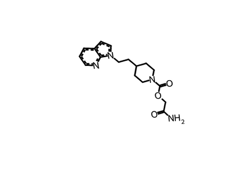 NC(=O)COC(=O)N1CCC(CCn2ccc3cccnc32)CC1